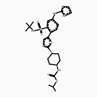 CC(C)OC(=O)N[C@H]1CC[C@@H](c2ncc(-c3ccc(Nc4ncc[nH]4)cc3S(=O)(=O)NC(C)(C)C)s2)CC1